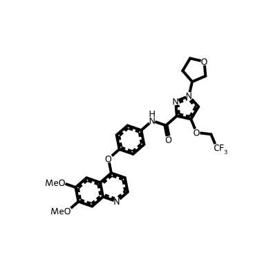 COc1cc2nccc(Oc3ccc(NC(=O)c4nn(C5CCOC5)cc4OCC(F)(F)F)cc3)c2cc1OC